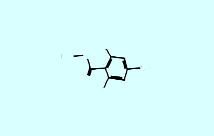 COC(=O)c1c(Cl)cc(N)cc1I